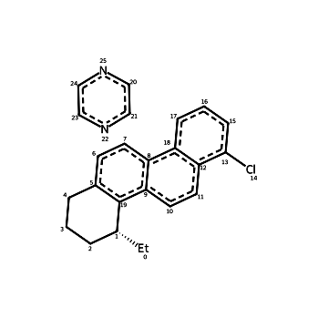 CC[C@@H]1CCCc2ccc3c(ccc4c(Cl)cccc43)c21.c1cnccn1